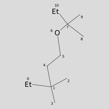 CCC(C)(C)CCOC(C)(C)CC